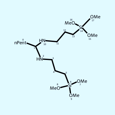 CCCCCC(NCCC[Si](OC)(OC)OC)NCCC[Si](OC)(OC)OC